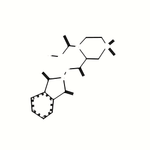 CC(C)(C)OC(=O)N1CCS(=O)(=O)CC1C(=O)ON1C(=O)c2ccccc2C1=O